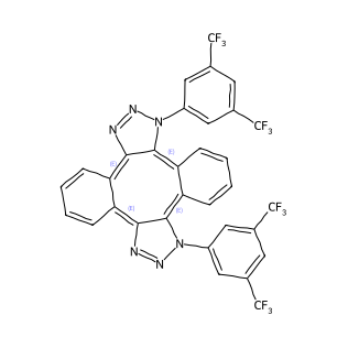 FC(F)(F)c1cc(-n2nnc3/c2=c2/cccc/c2=c2/c(nnn2-c2cc(C(F)(F)F)cc(C(F)(F)F)c2)=c2/cccc/c2=3)cc(C(F)(F)F)c1